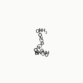 NC(=O)c1ccc(N2CCC(OC3CCN(c4cccc(Br)c4CNC4CCC(=O)NC4=O)CC3)CC2)cc1